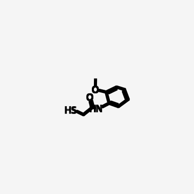 COc1ccccc1NC(=O)CS